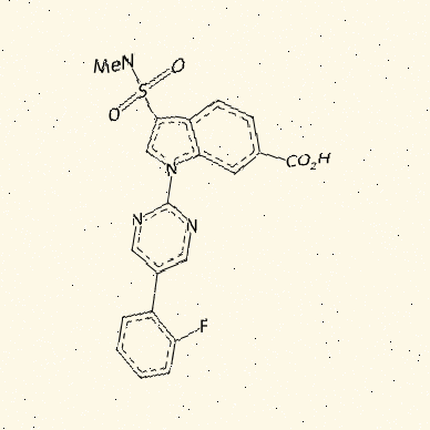 CNS(=O)(=O)c1cn(-c2ncc(-c3ccccc3F)cn2)c2cc(C(=O)O)ccc12